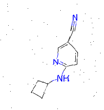 N#Cc1ccc(NC2CCC2)nc1